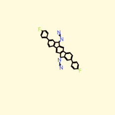 N#C/N=c1\c2cc(-c3ccc(F)cc3)ccc2c2cc3/c(=N/C#N)c4cc(-c5ccc(F)cc5)ccc4c3cc12